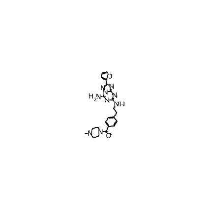 CN1CCN(C(=O)c2ccc(CCNc3nc(N)n4nc(-c5ccco5)nc4n3)cc2)CC1